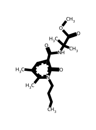 CCCCn1c(C)c(C)cc(C(=O)NC(C)(C)C(=O)OC)c1=O